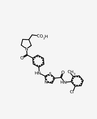 Cc1cccc(Cl)c1NC(=O)c1cnc(Nc2cccc(C(=O)N3CCC(CC(=O)O)C3)c2)s1